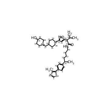 Cc1ncsc1-c1ccc(C(C)CCCCNC(=O)C(c2cc(N3CCC(CN4CCC(O)CC4)CC3)no2)C(C)C)cc1